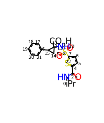 CC(C)NC(=O)c1ccc(S(=O)(=O)NC2(C(=O)O)CC2c2ccccc2)s1